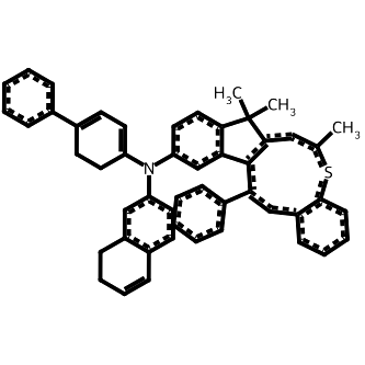 Cc1cc2c(c(-c3ccccc3)cc3ccccc3s1)-c1cc(N(C3=CC=C(c4ccccc4)CC3)c3ccc4c(c3)CCC=C4)ccc1C2(C)C